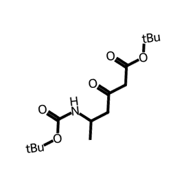 CC(CC(=O)CC(=O)OC(C)(C)C)NC(=O)OC(C)(C)C